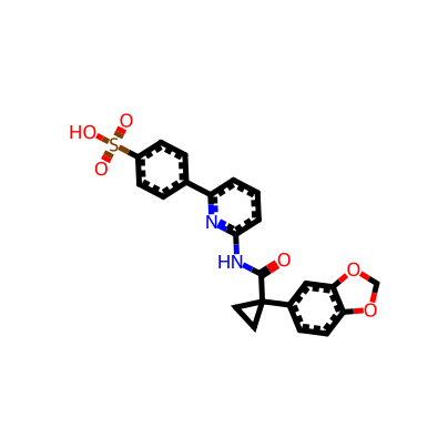 O=C(Nc1cccc(-c2ccc(S(=O)(=O)O)cc2)n1)C1(c2ccc3c(c2)OCO3)CC1